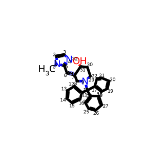 Cn1ccnc1/C=C1/CN(C(c2ccccc2)(c2ccccc2)c2ccccc2)CCC1O